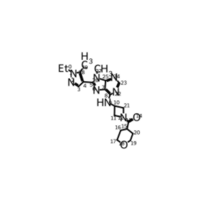 CCn1ncc(-c2nc3c(NC4CN(C(=O)C5CCOCC5)C4)ncnc3n2C)c1C